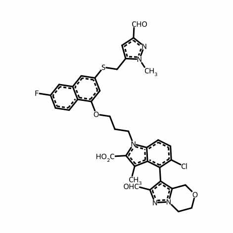 Cc1c(C(=O)O)n(CCCOc2cc(SCc3cc(C=O)nn3C)cc3cc(F)ccc23)c2ccc(Cl)c(-c3c(C=O)nn4c3COCC4)c12